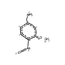 Nc1ccc([As]=O)cc1.O.O